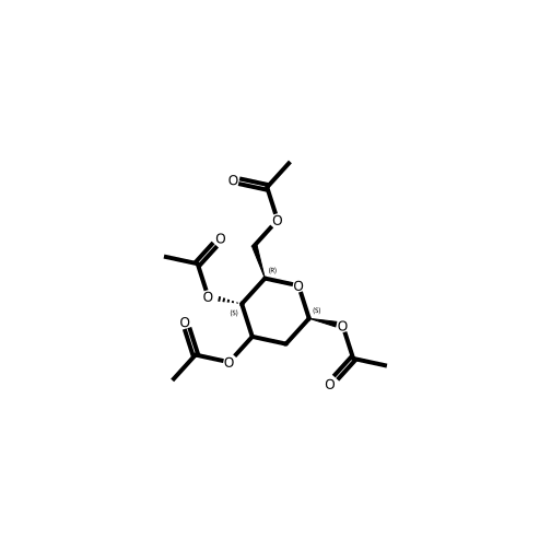 CC(=O)OC[C@H]1O[C@@H](OC(C)=O)CC(OC(C)=O)[C@@H]1OC(C)=O